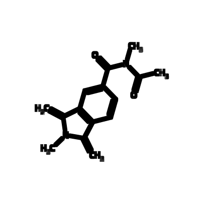 C=c1c2ccc(C(=O)N(C)C(C)=O)cc2c(=C)n1C